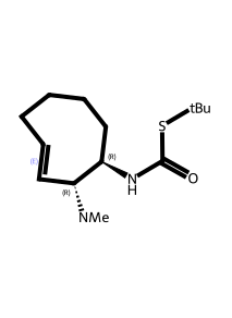 CN[C@@H]1/C=C/CCCC[C@H]1NC(=O)SC(C)(C)C